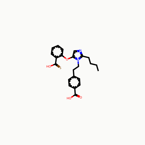 CCCCc1ncc(Oc2ccccc2C(O)=S)n1CCc1ccc(C(=O)O)cc1